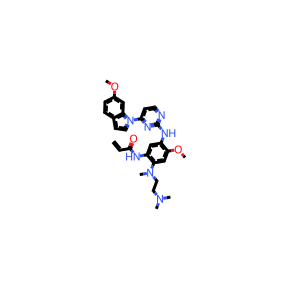 C=CC(=O)Nc1cc(Nc2nccc(-n3ccc4ccc(OC)cc43)n2)c(OC)cc1N(C)CCN(C)C